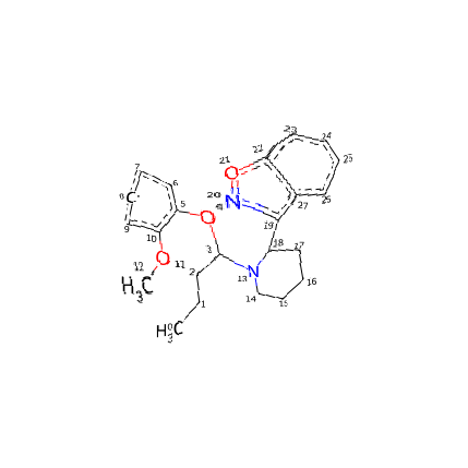 CCCC(Oc1cc[c]cc1OC)N1CCCCC1c1noc2ccccc12